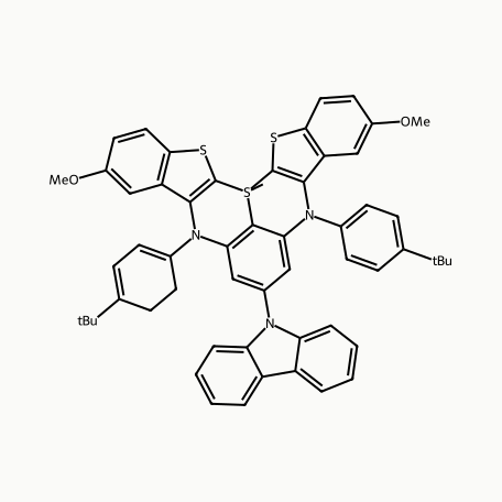 COc1ccc2sc3c(c2c1)N(C1=CC=C(C(C)(C)C)CC1)c1cc(-n2c4ccccc4c4ccccc42)cc2c1S3(C)c1sc3ccc(OC)cc3c1N2c1ccc(C(C)(C)C)cc1